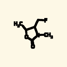 CC1OC(=O)N(C)C1CF